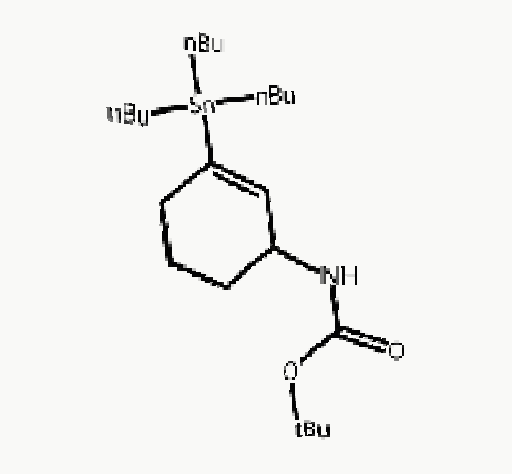 CCC[CH2][Sn]([CH2]CCC)([CH2]CCC)[C]1=CC(NC(=O)OC(C)(C)C)CCC1